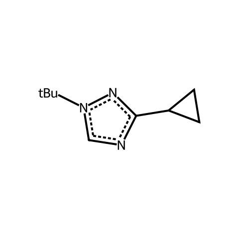 CC(C)(C)n1cnc(C2CC2)n1